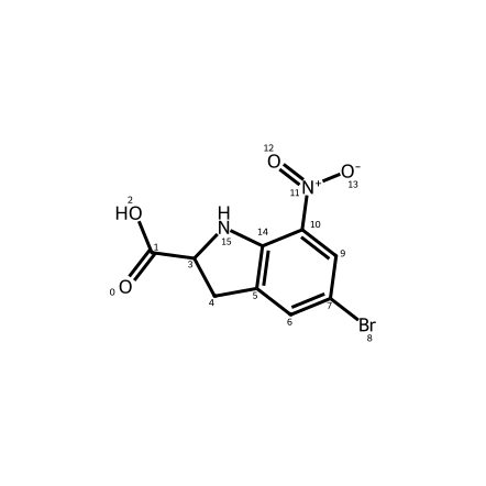 O=C(O)C1Cc2cc(Br)cc([N+](=O)[O-])c2N1